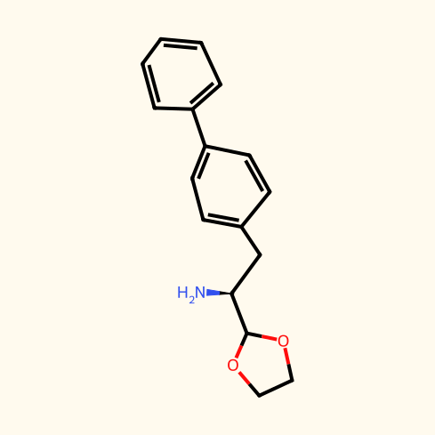 N[C@@H](Cc1ccc(-c2ccccc2)cc1)C1OCCO1